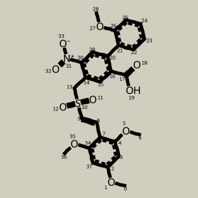 COc1cc(OC)c(C=CS(=O)(=O)Cc2cc(C(=O)O)c(-c3ccccc3OC)cc2[N+](=O)[O-])c(OC)c1